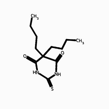 CCCCC1(CCCC)C(=O)NC(=S)NC1=O